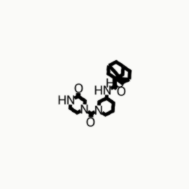 O=C1CN(C(=O)N2CCCC(NC(=O)C34CC5CC(C3)C(O)C(C5)C4)C2)CCN1